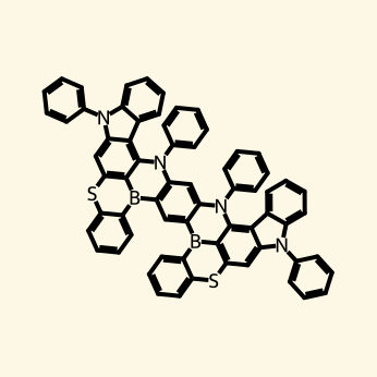 c1ccc(N2c3cc4c(cc3B3c5ccccc5Sc5cc6c(c2c53)c2ccccc2n6-c2ccccc2)B2c3ccccc3Sc3cc5c(c(c32)N4c2ccccc2)c2ccccc2n5-c2ccccc2)cc1